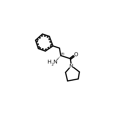 N[C@H](Cc1ccccc1)C(=O)N1CCCC1